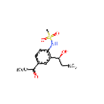 COC(=O)c1ccc(NS(C)(=O)=O)c([C@@H](O)C[N+](=O)[O-])c1